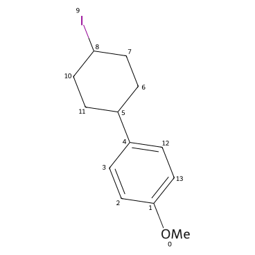 COc1ccc(C2CCC(I)CC2)cc1